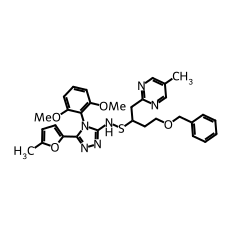 COc1cccc(OC)c1-n1c(NSC(CCOCc2ccccc2)Cc2ncc(C)cn2)nnc1-c1ccc(C)o1